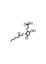 CCCCCC(=O)CC[C@H]1C(=O)CC(O)[C@@H]1CCC(=O)O